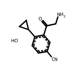 Cl.N#Cc1ccc(C2CC2)c(C(=O)CN)c1